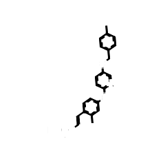 Cc1ccc(COc2ccc(Oc3ccc(/C=C/C(=O)O)c(C)c3)nc2)cc1